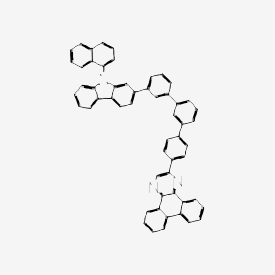 c1cc(-c2ccc(-c3cnc4c5ccccc5c5ccccc5c4n3)cc2)cc(-c2cccc(-c3ccc4c5ccccc5n(-c5cccc6ccccc56)c4c3)c2)c1